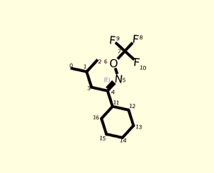 CC(C)C/C(=N\OC(F)(F)F)C1CCCCC1